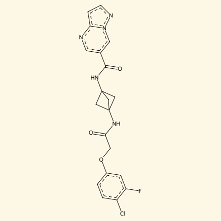 O=C(COc1ccc(Cl)c(F)c1)NC12CC(NC(=O)c3cnc4ccnn4c3)(C1)C2